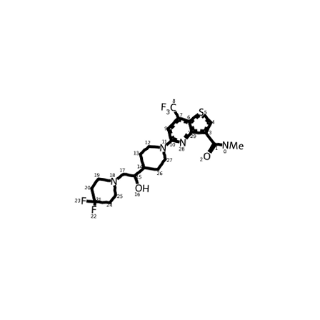 CNC(=O)c1csc2c(C(F)(F)F)cc(N3CCC(C(O)CN4CCC(F)(F)CC4)CC3)nc12